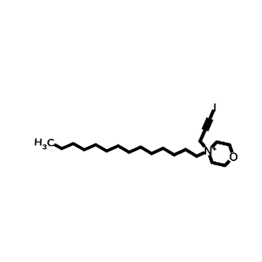 CCCCCCCCCCCCCC[N+]1(CC#CI)CCOCC1